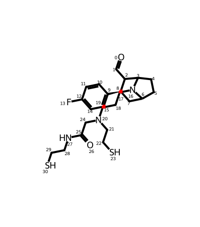 O=CC1C2CCC(C[C@H]1c1ccc(F)cc1)N2CCCN(CCS)CC(=O)NCCS